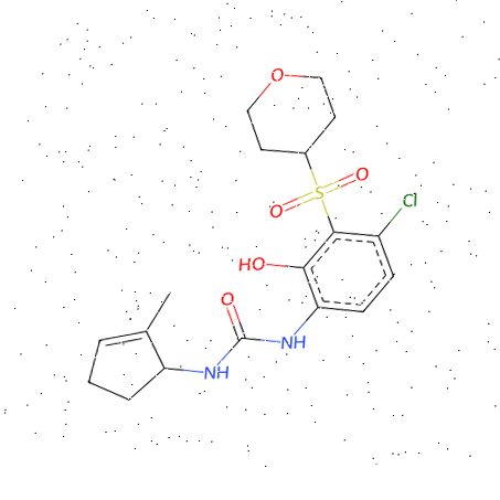 CC1=CCCC1NC(=O)Nc1ccc(Cl)c(S(=O)(=O)C2CCOCC2)c1O